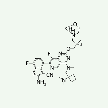 CN(CC1(N(C)C)CCC1)c1nc(OCC2(CN3CCO[C@@H]4C[C@@H]43)CC2)nc2c(F)c(-c3ccc(F)c4sc(N)c(C#N)c34)ncc12